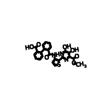 COC(=O)c1nc(-c2sccc2NC(=O)c2ccccc2-c2ccccc2C(=O)O)nc(O)c1O